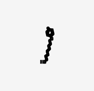 Cc1ccc(OCCCCCCCCO)cc1